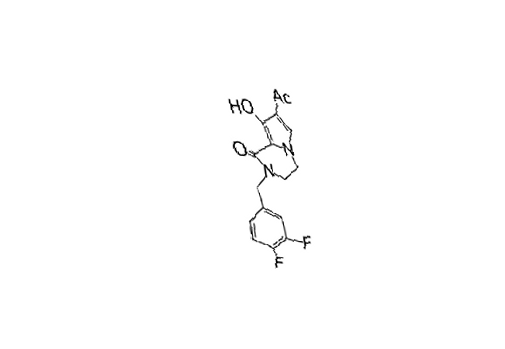 CC(=O)c1cn2c(c1O)C(=O)N(Cc1ccc(F)c(F)c1)CC2